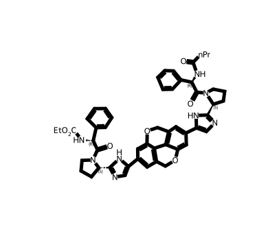 CCCC(=O)N[C@@H](C(=O)N1CCC[C@H]1c1ncc(-c2cc3c4c(c2)OCc2cc(-c5cnc([C@@H]6CCCN6C(=O)[C@H](NC(=O)OCC)c6ccccc6)[nH]5)cc(c2-4)OC3)[nH]1)c1ccccc1